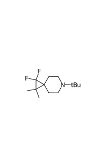 CC(C)(C)N1CCC2(CC1)C(C)(C)C2(F)F